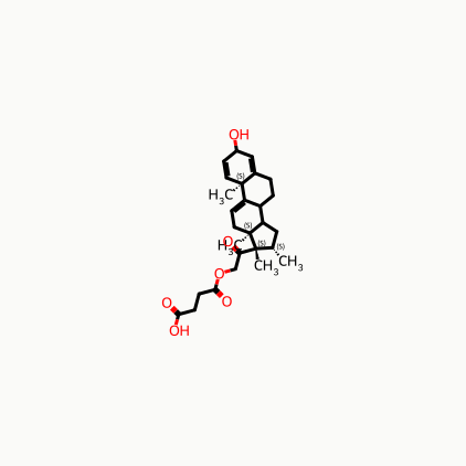 C[C@H]1CC2C3CCC4=CC(O)C=C[C@]4(C)C3=CC[C@]2(C)[C@@]1(C)C(=O)COC(=O)CCC(=O)O